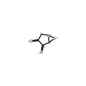 O=C1CN2S[C]2C1=O